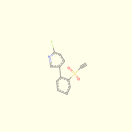 C#CS(=O)(=O)c1ccccc1-c1ccc(F)nc1